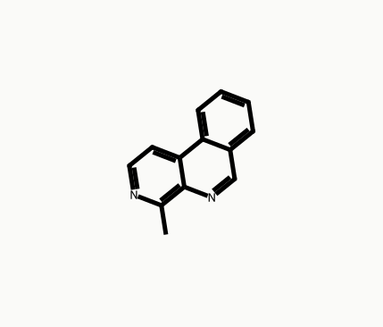 Cc1nccc2c1ncc1ccccc12